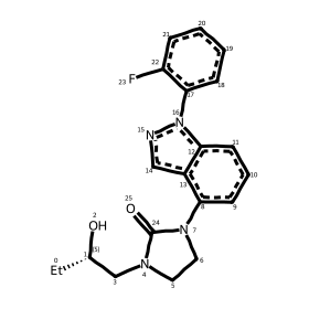 CC[C@H](O)CN1CCN(c2cccc3c2cnn3-c2ccccc2F)C1=O